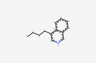 CCCCc1cncc2ccccc12